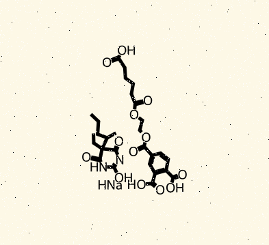 CCCC(C)C1(CC)C(=O)N=C(O)NC1=O.O=C(O)CCCCC(=O)OCCOC(=O)c1ccc(C(=O)O)c(C(=O)O)c1.[NaH]